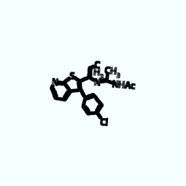 C/C=C(\N=C(/C)NC(C)=O)c1sc2ncccc2c1-c1ccc(Cl)cc1